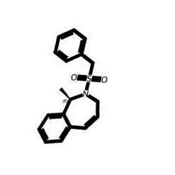 C[C@@H]1c2ccccc2C=CCN1S(=O)(=O)Cc1ccccc1